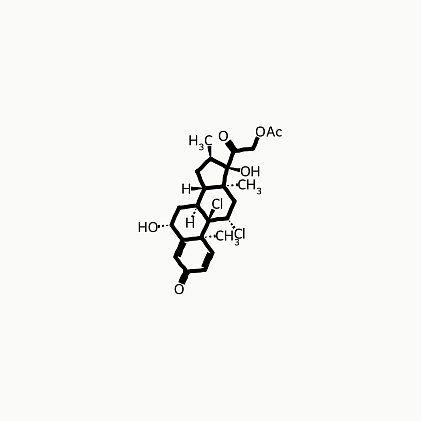 CC(=O)OCC(=O)[C@@]1(O)[C@H](C)C[C@H]2[C@@H]3C[C@@H](O)C4=CC(=O)C=C[C@]4(C)[C@@]3(Cl)[C@@H](Cl)C[C@@]21C